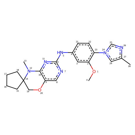 COc1cc(Nc2ncc3c(n2)N(C)C2(CCCC2)CO3)ccc1-n1cnc(C)c1